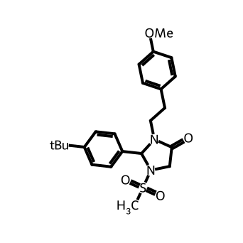 COc1ccc(CCN2C(=O)CN(S(C)(=O)=O)C2c2ccc(C(C)(C)C)cc2)cc1